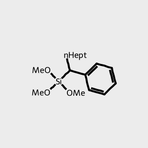 CCCCCCCC(c1ccccc1)[Si](OC)(OC)OC